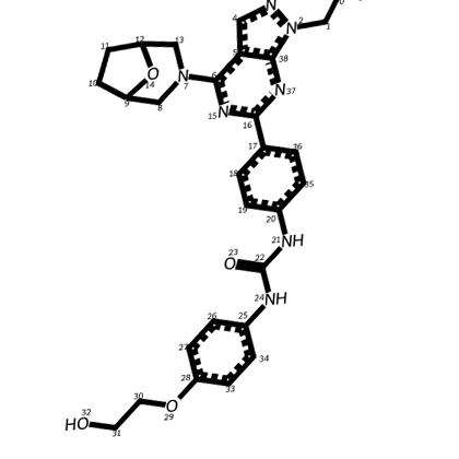 CCn1ncc2c(N3CC4CCC(C3)O4)nc(-c3ccc(NC(=O)Nc4ccc(OCCO)cc4)cc3)nc21